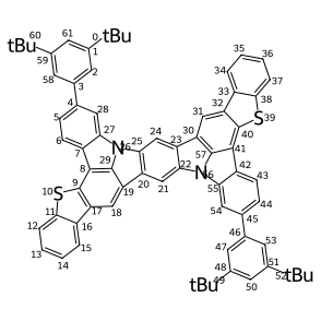 CC(C)(C)c1cc(-c2ccc3c4c5sc6ccccc6c5cc5c6cc7c(cc6n(c3c2)c54)c2cc3c4ccccc4sc3c3c4ccc(-c5cc(C(C)(C)C)cc(C(C)(C)C)c5)cc4n7c23)cc(C(C)(C)C)c1